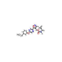 Cc1noc(-c2cnc(OC3CCCC(C(=O)O)C3)cn2)c1COC(=O)N(C)C(C)C1CC1